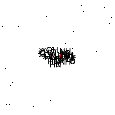 N=C1NC2[C@H](CN3C(=O)CCC3=O)NC(=N)N3CC(NC(=O)c4ccc5ccccc5c4O)C(O)C23N1